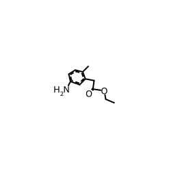 CCOC(=O)Cc1cc(N)ccc1C